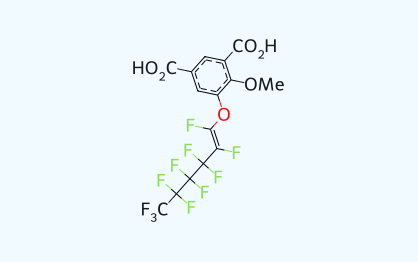 COc1c(OC(F)=C(F)C(F)(F)C(F)(F)C(F)(F)C(F)(F)F)cc(C(=O)O)cc1C(=O)O